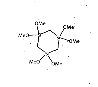 CO[Si]1(OC)C[Si](OC)(OC)C[Si](OC)(OC)C1